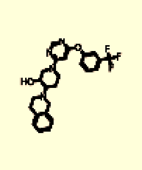 OC1CN(c2cc(Oc3cccc(C(F)(F)F)c3)ncn2)CCC1N1CCc2ccccc2C1